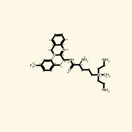 C[N+](CCN)(CCN)CCC[C@H](N)C(=O)N[C@H](Cc1ccc(C(F)(F)F)cc1)C1=Nc2ccccc2CO1